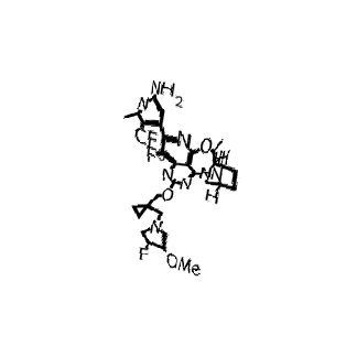 CO[C@@H]1CN(CC2(COc3nc4c5c(nc(-c6cc(N)nc(C)c6C(F)(F)F)c(F)c5n3)O[C@@H](C)[C@@H]3[C@@H]5CC[C@H](CN43)N5)CC2)C[C@@H]1F